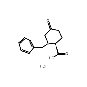 Cl.O=C1CC[C@@H](C(=O)O)N(Cc2ccccc2)C1